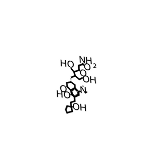 CN(C)c1cc(CCC2(O)CCCC2)c(O)c2c1C[C@@H](CC(CCO)C(CO)C(=O)CC(N)=O)CC2=O